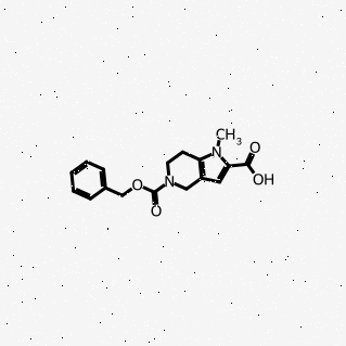 Cn1c(C(=O)O)cc2c1CCN(C(=O)OCc1ccccc1)C2